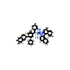 c1ccc(-c2cc(C3NC(n4c5ccc6ccccc6c5c5c6ccccc6ccc54)=Nc4ccccc43)cc3sc4cc5ccccc5cc4c23)cc1